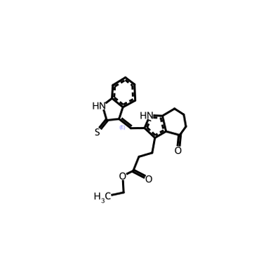 CCOC(=O)CCc1c(/C=C2/C(=S)Nc3ccccc32)[nH]c2c1C(=O)CCC2